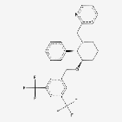 FC(F)(F)c1cc(CO[C@@H]2CCCN(Cc3ccccn3)[C@@H]2c2ccccc2)cc(C(F)(F)F)c1